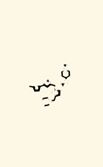 CC(C)N1CCC(NC(=O)Oc2cc(C(=O)N3CCOCC3)nn2Cc2cc(-c3ccc(Cl)s3)on2)CC1